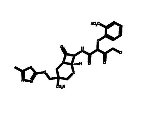 Cc1nnc(SCC2(C(=O)O)CS[C@@H]3C(NC(=O)C(Sc4ccccc4C(=O)O)C(=O)CCl)C(=O)N3C2)s1